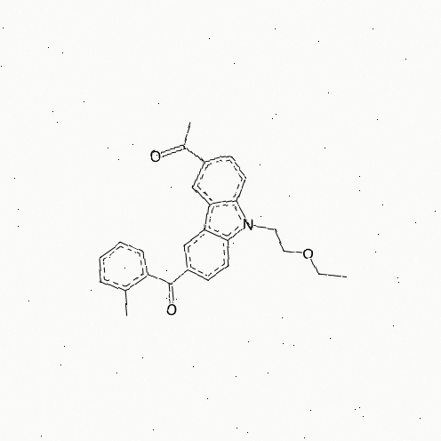 CCOCCn1c2ccc(C(C)=O)cc2c2cc(C(=O)c3ccccc3C)ccc21